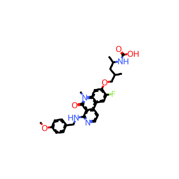 COc1ccc(CNc2nccc3c2c(=O)n(C)c2cc(OCC(C)CC(C)NC(=O)O)c(F)cc32)cc1